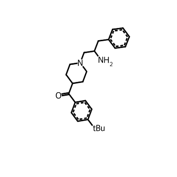 CC(C)(C)c1ccc(C(=O)C2CCN(CC(N)Cc3ccccc3)CC2)cc1